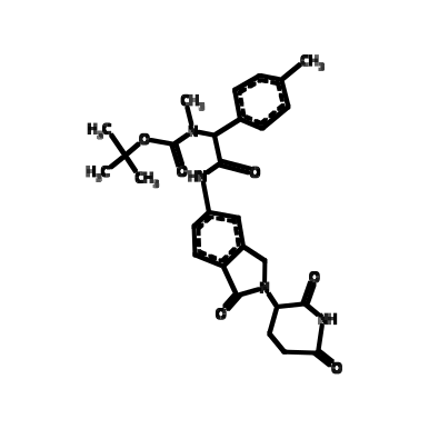 Cc1ccc(C(C(=O)Nc2ccc3c(c2)CN(C2CCC(=O)NC2=O)C3=O)N(C)C(=O)OC(C)(C)C)cc1